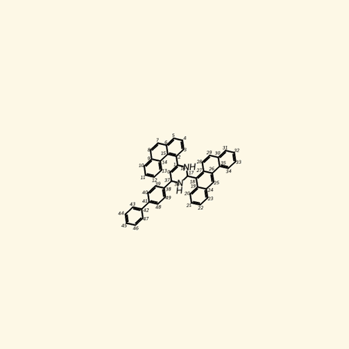 C1=C(c2cccc3ccc4ccccc4c23)NC(c2c3ccccc3cc3c2ccc2ccccc23)NC1c1ccc(-c2ccccc2)cc1